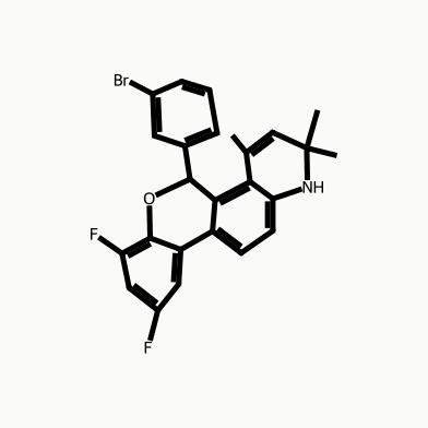 CC1=CC(C)(C)Nc2ccc3c(c21)C(c1cccc(Br)c1)Oc1c(F)cc(F)cc1-3